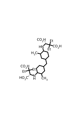 CCC(CC)(C(=O)O)[C@H](NC1CCC(CC2CCC(N[C@H](C(=O)O)C(CC)(CC)C(=O)O)C(C)C2)CC1C)C(=O)O